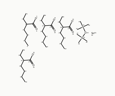 CCCCC(CC)C(=O)[O-].CCCCC(CC)C(=O)[O-].CCCCC(CC)C(=O)[O-].CCCCC(CC)C(=O)[O-].C[Si](C)(C)O[Si](C)(C)C.[Sn+4]